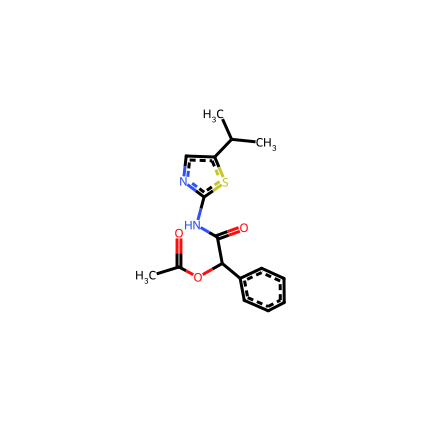 CC(=O)OC(C(=O)Nc1ncc(C(C)C)s1)c1ccccc1